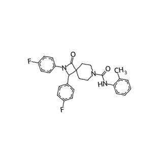 Cc1ccccc1NC(=O)N1CCC2(CC1)C(=O)N(c1ccc(F)cc1)C2c1ccc(F)cc1